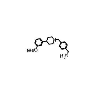 COc1cccc(C2CCN(Cc3ccc(CN)cc3)CC2)c1